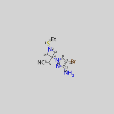 CCSN1CC(CC#N)(n2cc(Br)c(N)n2)C1